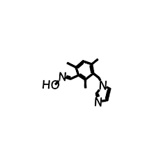 Cc1cc(C)c(Cn2ccnc2)c(C)c1/C=N/O